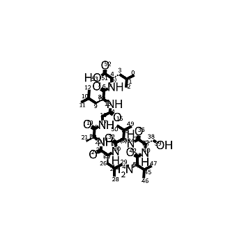 CC(C)C[C@H](NC(=O)[C@H](CC(C)C)NC(=O)CNC(=O)[C@H](C)NC(=O)[C@H](CC(C)C)NC(=O)[C@@H](NC(=O)[C@H](CO)NC(=O)[C@@H](N)C(C)C)C(C)C)C(=O)O